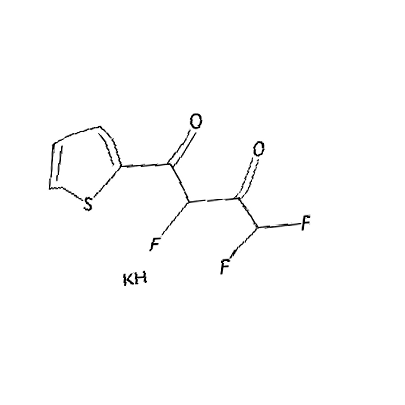 O=C(c1cccs1)C(F)C(=O)C(F)F.[KH]